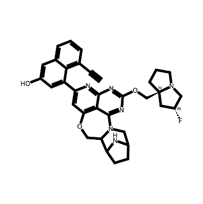 C#Cc1cccc2cc(O)cc(-c3cc4c5c(nc(OC[C@@]67CCCN6C[C@H](F)C7)nc5n3)N3CC5CCC(N5)C3CO4)c12